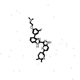 CC1=NC=C(c2ccc3[nH]nc(-c4nc5c(-c6cc(F)cc(OCCN(C)C)c6)cccc5[nH]4)c3n2)CCC1C